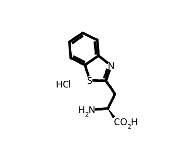 Cl.N[C@@H](Cc1nc2ccccc2s1)C(=O)O